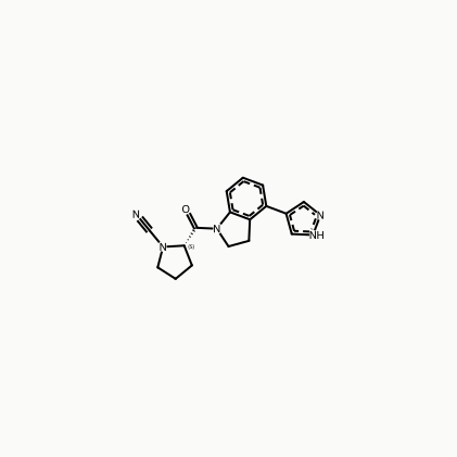 N#CN1CCC[C@H]1C(=O)N1CCc2c(-c3cn[nH]c3)cccc21